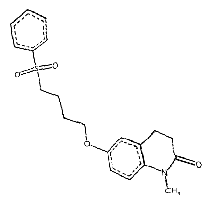 CN1C(=O)CCc2cc(OCCCCS(=O)(=O)c3ccccc3)ccc21